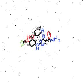 NC(=O)c1cnc(NC2CCC(OC(F)F)CC2)nc1N[C@@H]1CCC[C@H](O)C1